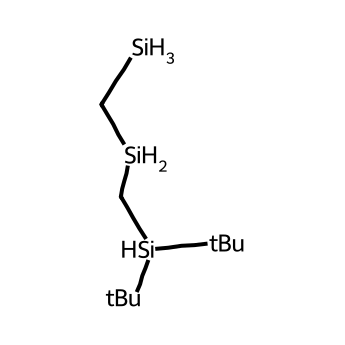 CC(C)(C)[SiH](C[SiH2]C[SiH3])C(C)(C)C